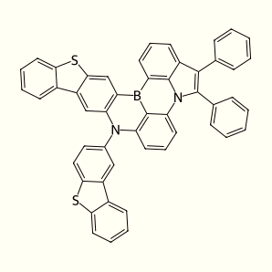 c1ccc(-c2c(-c3ccccc3)n3c4c(cccc24)B2c4cc5sc6ccccc6c5cc4N(c4ccc5sc6ccccc6c5c4)c4cccc-3c42)cc1